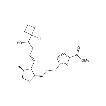 CCC1(C(O)C/C=C/C2[C@@H](CCCc3ccc(C(=O)OC)s3)CC[C@H]2F)CCC1